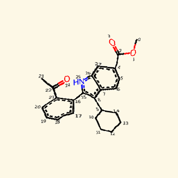 COC(=O)c1ccc2c(C3CCCCC3)c(-c3ccccc3C(C)=O)[nH]c2c1